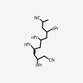 CCCC(=CC(CC#N)CCC)CC(CCC)CC(CCC)CC(C)C#N